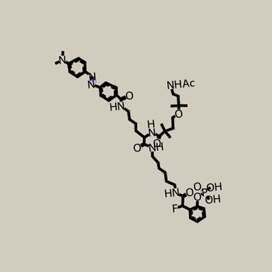 CC(=O)NCCC(C)(C)OCCC(C)(C)C(=O)NC(CCCCNC(=O)c1ccc(/N=N/c2ccc(N(C)C)cc2)cc1)C(=O)NCCCCCCNC(=O)C(F)c1ccccc1OP(=O)(O)O